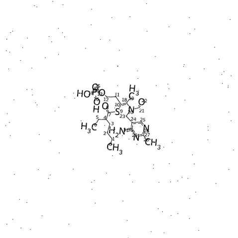 CCCCC(CC)C(=O)SC(CCOP(=O)(O)O)=C(C)N(C=O)Cc1cnc(C)nc1N